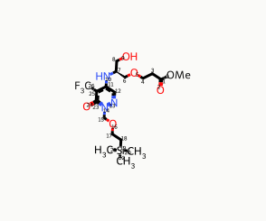 COC(=O)CCOC[C@H](CO)Nc1cnn(COCC[Si](C)(C)C)c(=O)c1C(F)(F)F